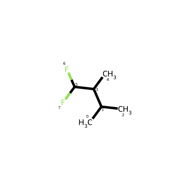 CC(C)C(C)C(F)F